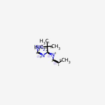 C\C=C/N=C(\N=C/N)C(C)(C)C